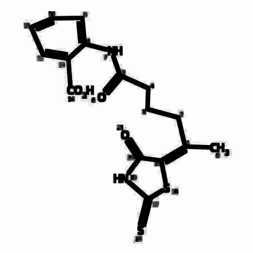 CC(CCCC(=O)Nc1ccccc1C(=O)O)=C1SC(=S)NC1=O